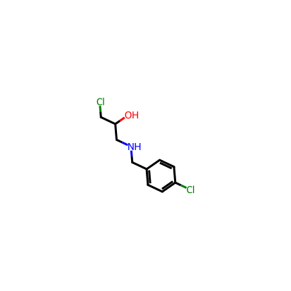 OC(CCl)CNCc1ccc(Cl)cc1